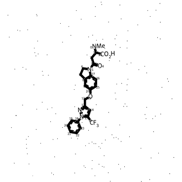 CNC(CC(=O)N1CCc2cc(OCc3cc(C(F)(F)F)n(-c4ccccc4)n3)ccc21)C(=O)O